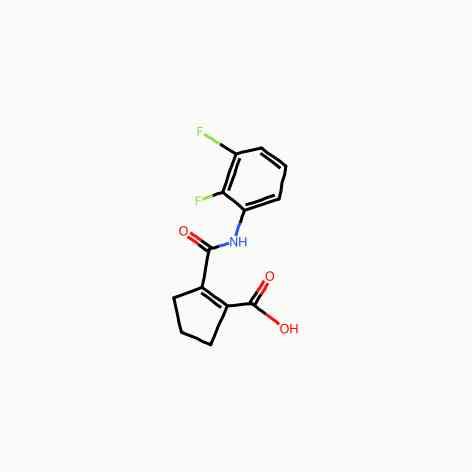 O=C(O)C1=C(C(=O)Nc2cccc(F)c2F)CCC1